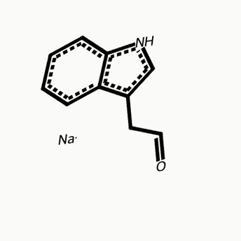 O=CCc1c[nH]c2ccccc12.[Na]